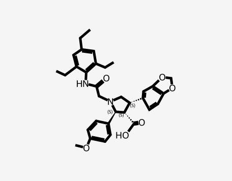 CCc1cc(CC)c(NC(=O)CN2C[C@H](c3ccc4c(c3)OCO4)[C@H](C(=O)O)[C@H]2c2ccc(OC)cc2)c(CC)c1